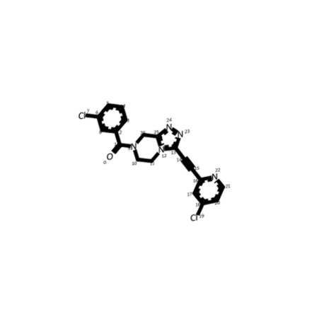 O=C(c1cccc(Cl)c1)N1CCn2c(C#Cc3cc(Cl)ccn3)nnc2C1